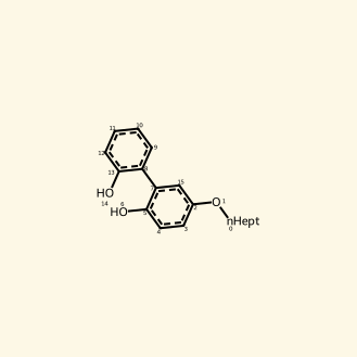 CCCCCCCOc1ccc(O)c(-c2ccccc2O)c1